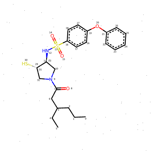 CCCC(CC)CC(=O)N1C[C@H](NS(=O)(=O)c2ccc(Oc3ccccc3)cc2)[C@@H](S)C1